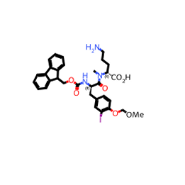 COCOc1ccc(C[C@@H](NC(=O)OCC2c3ccccc3-c3ccccc32)C(=O)N(C)[C@H](CCCN)C(=O)O)cc1I